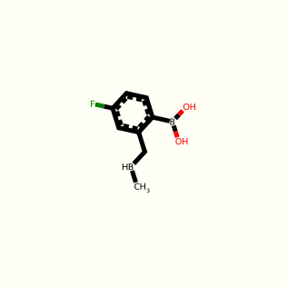 CBCc1cc(F)ccc1B(O)O